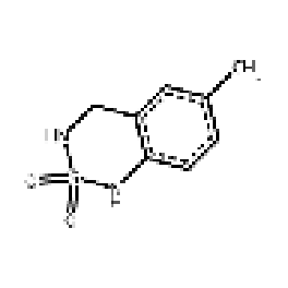 Cc1ccc2c(c1)CNS(=O)(=O)N2